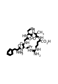 CC(C)C[C@H](NC(=O)CNC(=O)[C@H](CC(C)C)NC(=O)[C@@H](N)Cc1ccccc1)C(=O)N[C@@H](C)C(=O)N[C@@H](CCCNC(=N)N)C(=O)O